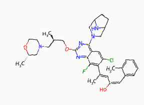 C/C(=C\C(O)=C/c1ccccc1C)c1c(Cl)cc2c(N3CC4CCC(C3)N4)nc(OC[C@H](C)CN3CCO[C@@H](C)C3)nc2c1F